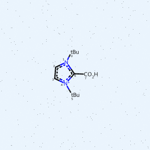 CC(C)(C)n1cc[n+](C(C)(C)C)c1C(=O)O